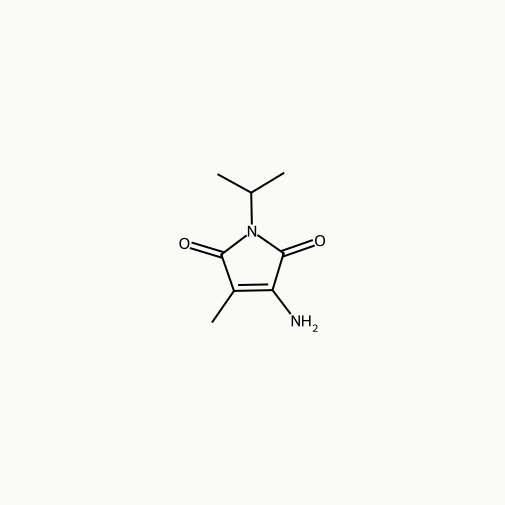 CC1=C(N)C(=O)N(C(C)C)C1=O